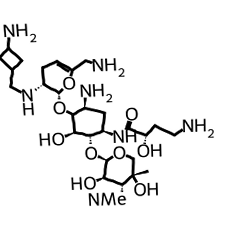 CN[C@@H]1[C@@H](O)[C@@H](O[C@H]2[C@H](NC(=O)[C@@H](O)CCN)C[C@H](N)C(O[C@H]3OC(CN)=CC[C@H]3NCC3CC(N)C3)[C@@H]2O)OC[C@]1(C)O